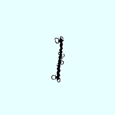 O=C(Cl)CCCCCOC(=O)COCC(=O)OCCCCCC(=O)Cl